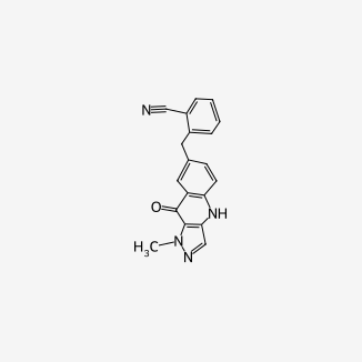 Cn1ncc2[nH]c3ccc(Cc4ccccc4C#N)cc3c(=O)c21